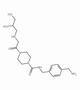 NCc1ccc(CNC(=O)N2CCN(C(=O)CNCC(O)CO)CC2)cc1